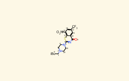 CCC(C)CN1CCN(c2nc(=O)c3cc(C(F)(F)F)cc([N+](=O)[O-])c3s2)CC1